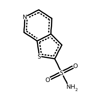 NS(=O)(=O)c1cc2ccncc2s1